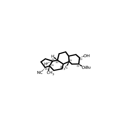 CC(C)CO[C@H]1C[C@@]2(C)C(CC[C@@H]3C2CC[C@]2(C)[C@H](C#N)CC[C@@H]32)C[C@@H]1O